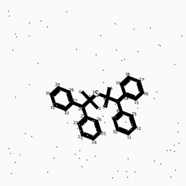 CC(C)(SC(C)(C)C(c1ccccc1)c1ccccc1)C(c1ccccc1)c1ccccc1